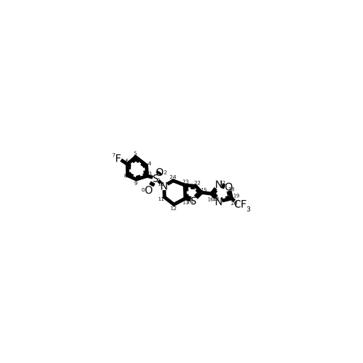 O=S(=O)(c1ccc(F)cc1)N1CCc2sc(-c3noc(C(F)(F)F)n3)cc2C1